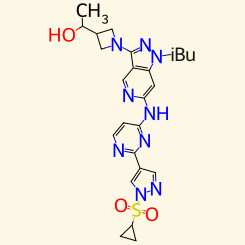 CCC(C)n1nc(N2CC(C(C)O)C2)c2cnc(Nc3ccnc(-c4cnn(S(=O)(=O)C5CC5)c4)n3)cc21